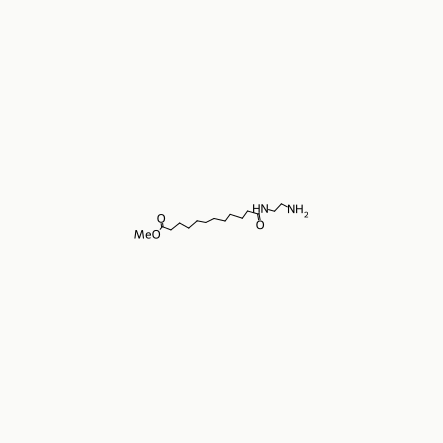 COC(=O)CCCCCCCCCCC(=O)NCCN